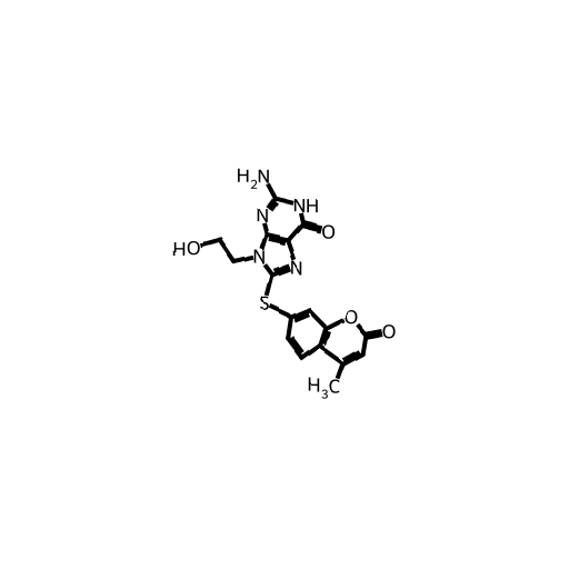 Cc1cc(=O)oc2cc(Sc3nc4c(=O)[nH]c(N)nc4n3CCO)ccc12